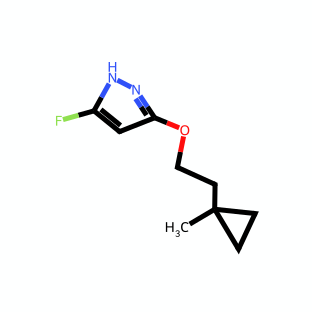 CC1(CCOc2cc(F)[nH]n2)CC1